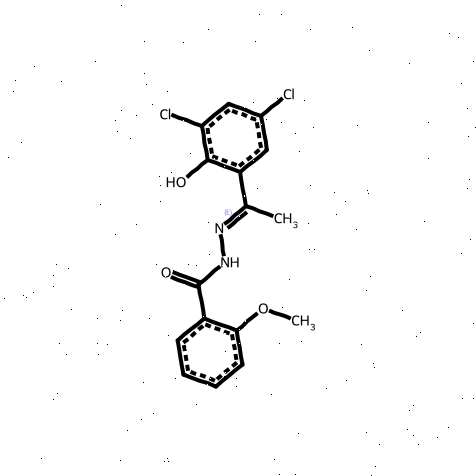 COc1ccccc1C(=O)N/N=C(\C)c1cc(Cl)cc(Cl)c1O